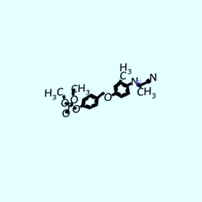 CCOP(=O)(OCC)Oc1ccc(COc2ccc(/N=C(\C)C#N)c(C)c2)cc1